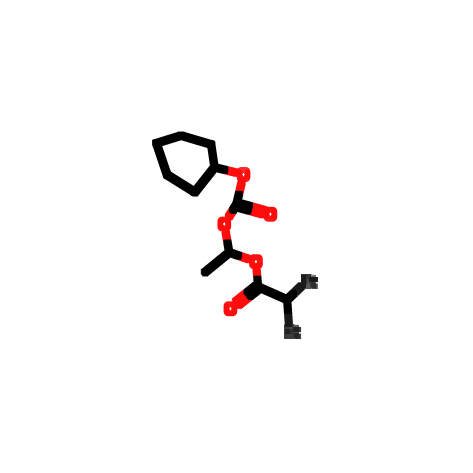 CCC(CC)C(=O)OC(C)OC(=O)OC1CCCCC1